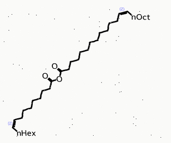 CCCCCC/C=C\CCCCCCCC(=O)OC(=O)CCCCCCCCCCC/C=C\CCCCCCCC